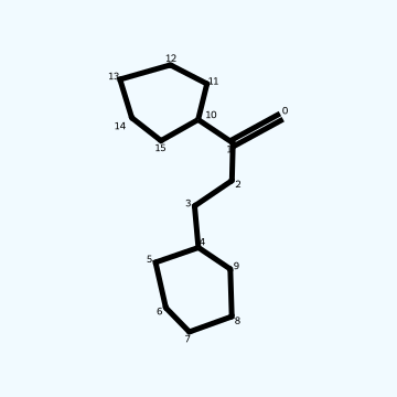 C=C(CCC1CCCCC1)C1CCCCC1